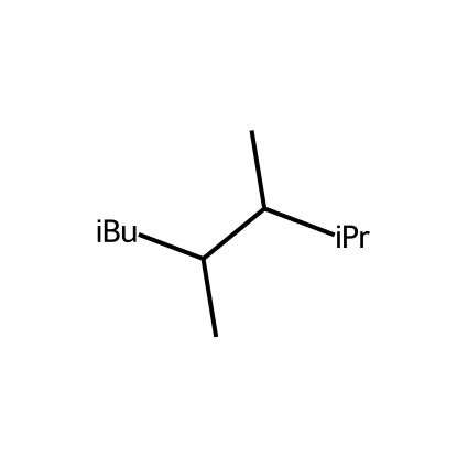 CCC(C)C(C)C(C)C(C)C